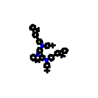 CC(C)(C)c1ccc(N(c2ccc(-c3ccc4c(c3)C(C)(C)c3ccccc3-4)cc2)c2ccc3c(c2)c2cc(N(c4ccc(-c5ccc6c(c5)C(C)(C)c5ccccc5-6)cc4)c4ccc(C(C)(C)C)cc4)cc4c2n3-c2ccccc2C4(C)C)cc1